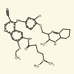 CCOc1cc2ncc(C#N)c(Nc3ccc(OCC4N=C5CCCCC5NC4C)c(Cl)c3)c2cc1NC(=O)CCCN(C)C